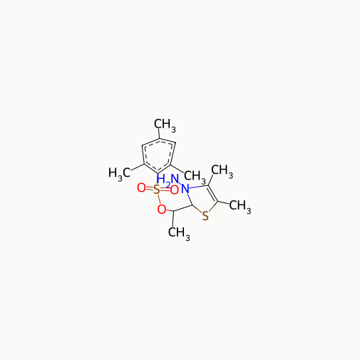 CC1=C(C)N(N)C(C(C)OS(=O)(=O)c2c(C)cc(C)cc2C)S1